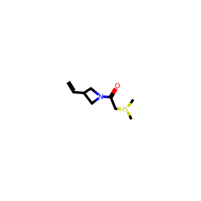 C=CC1CN(C(=O)C[SH](C)C)C1